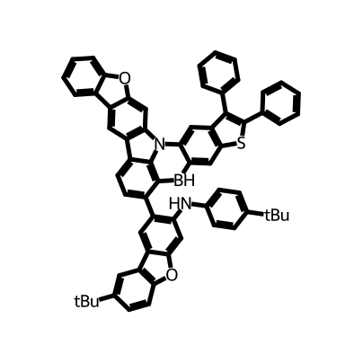 CC(C)(C)c1ccc(Nc2cc3oc4ccc(C(C)(C)C)cc4c3cc2-c2ccc3c4cc5c(cc4n4c3c2Bc2cc3sc(-c6ccccc6)c(-c6ccccc6)c3cc2-4)oc2ccccc25)cc1